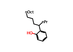 CCCCCCCCCCCC(CCC)c1ccccc1O